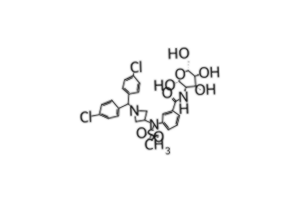 CS(=O)(=O)N(c1cccc(C(=O)N[C@@H]2[C@@H](O)[C@H](O)[C@@H](CO)O[C@H]2O)c1)C1CN(C(c2ccc(Cl)cc2)c2ccc(Cl)cc2)C1